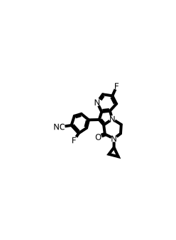 N#Cc1ccc(-c2c3n(c4cc(F)cnc24)CCN(C2CC2)C3=O)cc1F